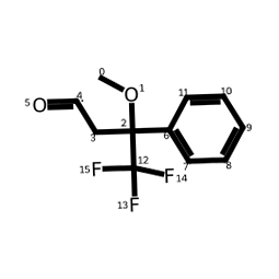 COC(C[C]=O)(c1ccccc1)C(F)(F)F